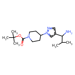 CC(C)C(N)c1cnn(C2CCN(C(=O)OC(C)(C)C)CC2)c1